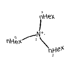 CCCCCC[N+](CCCCCC)CCCCCC